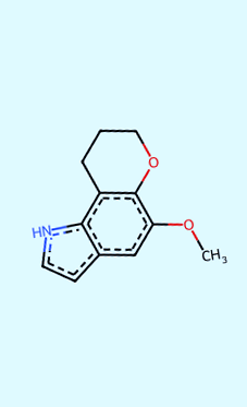 COc1cc2cc[nH]c2c2c1OCCC2